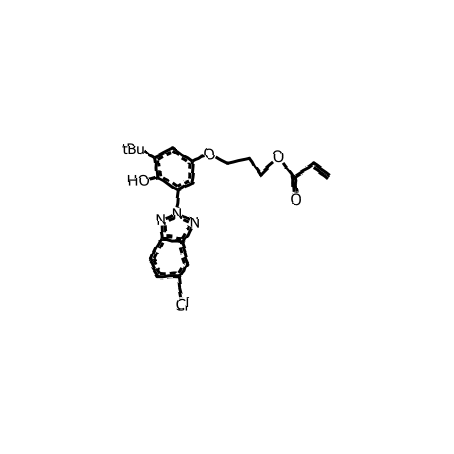 C=CC(=O)OCCCOc1cc(-n2nc3ccc(Cl)cc3n2)c(O)c(C(C)(C)C)c1